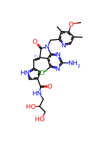 COc1c(C)cnc(CN2C(=O)/C(=C/c3cc(C(=O)NCC(O)CO)c[nH]3)c3c(Cl)nc(N)nc32)c1C